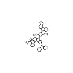 CC1(C)c2ccccc2-c2c1ccc1c2c2cc(-n3c4ccccc4c4ccccc43)ccc2n1-c1cc(C#N)c(-n2c3ccccc3c3c4ccccc4ccc32)cc1C#N